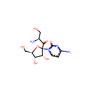 Nc1ccn([C@]2(C(=O)[C@@H](N)CO)O[C@H](CO)[C@@H](O)[C@H]2O)c(=O)n1